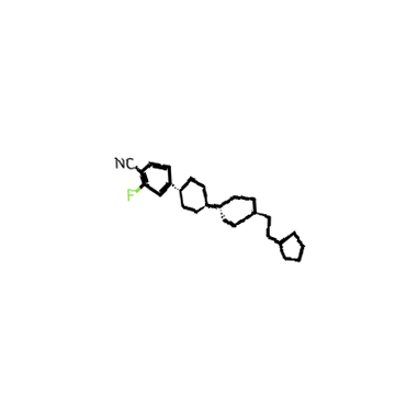 N#Cc1ccc([C@H]2CC[C@H]([C@H]3CC[C@H](CCC4CCCC4)CC3)CC2)cc1F